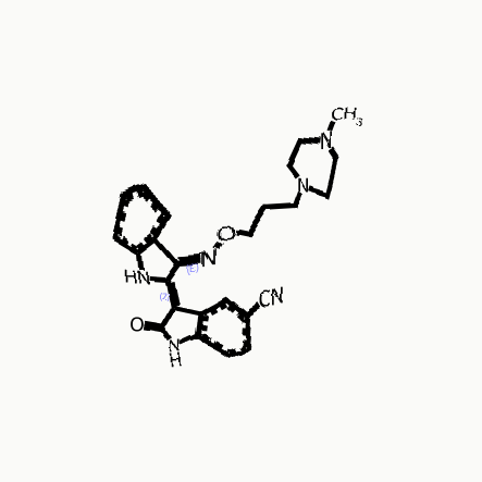 CN1CCN(CCCO/N=C2/C(=C3/C(=O)Nc4ccc(C#N)cc43)Nc3ccccc32)CC1